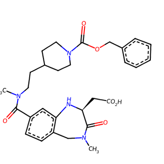 CN(CCC1CCN(C(=O)OCc2ccccc2)CC1)C(=O)c1ccc2c(c1)N[C@@H](CC(=O)O)C(=O)N(C)C2